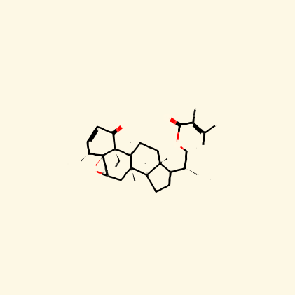 CCC1=C(C)C[C@H]([C@@H](C)C2CC[C@H]3[C@@H]4C[C@H]5O[C@]56[C@@H](OC(C)=O)C=CC(=O)[C@]6(COC(C)=O)[C@H]4CC[C@]23C)OC1=O